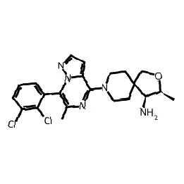 Cc1nc(N2CCC3(CC2)CO[C@@H](C)[C@H]3N)c2ccnn2c1-c1cccc(Cl)c1Cl